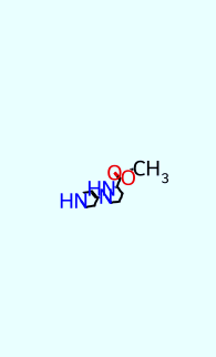 CCOC(=O)C1CCCN(C2=CCNCC2)N1